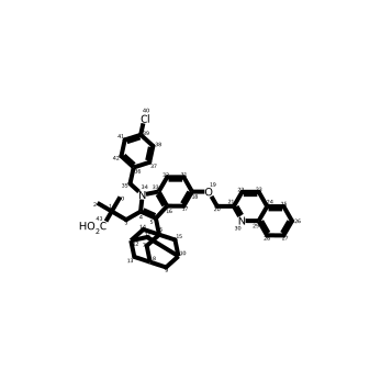 CC(C)(Cc1c(C23CC4CC(CC(C4)C2)C3)c2cc(OCc3ccc4ccccc4n3)ccc2n1Cc1ccc(Cl)cc1)C(=O)O